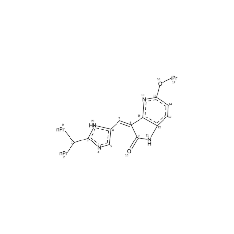 CCCC(CCC)c1ncc(/C=C2\C(=O)Nc3ccc(OC(C)C)nc32)[nH]1